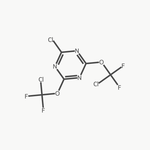 FC(F)(Cl)Oc1nc(Cl)nc(OC(F)(F)Cl)n1